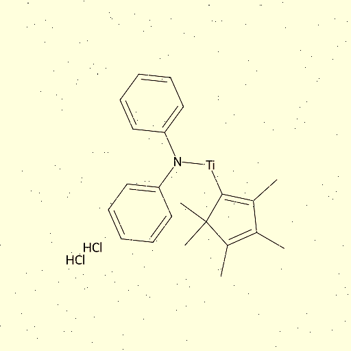 CC1=C(C)C(C)(C)[C]([Ti][N](c2ccccc2)c2ccccc2)=C1C.Cl.Cl